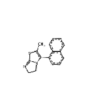 CC1=C(c2nccc3ccccc23)N2CCN=C2S1